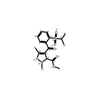 COC(=O)C1C(C(=O)c2ccccc2S(=O)(=O)C(C)C)=C(C)ON1C